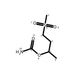 CC(CCS(C)(=O)=O)OC(N)=O